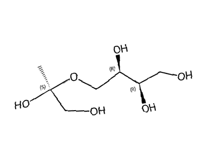 C[C@@](O)(CO)OC[C@@H](O)[C@H](O)CO